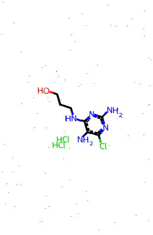 Cl.Cl.Nc1nc(Cl)c(N)c(NCCCO)n1